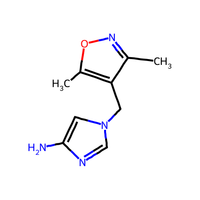 Cc1noc(C)c1Cn1cnc(N)c1